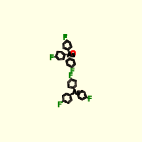 Fc1ccc([As](c2ccc(F)cc2)c2ccc(F)cc2)cc1.O=[As](c1ccc(F)cc1)(c1ccc(F)cc1)c1ccc(F)cc1